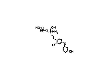 NC(CO)(CCCc1ccc(Sc2cccc(O)c2)cc1Cl)COPOO